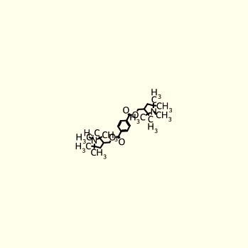 CN1C(C)(C)CC(COC(=O)c2ccc(C(=O)OCC3CC(C)(C)N(C)C3(C)C)cc2)C1(C)C